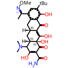 CO/N=C(/C)c1cc(C(C)(C)C)c(O)c2c1C[C@H]1C[C@H]3C(N(C)C)C(O)=C(C(N)=O)C(=O)[C@@]3(O)C(O)=C1C2=O